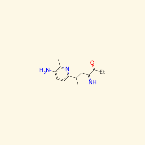 CCC(=O)C(=N)CC(C)c1ccc(N)c(C)n1